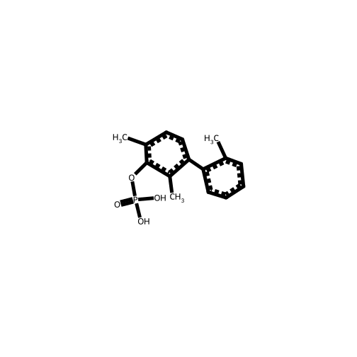 Cc1ccccc1-c1ccc(C)c(OP(=O)(O)O)c1C